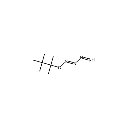 CC(C)(C)C(C)(C)ON=NN=N